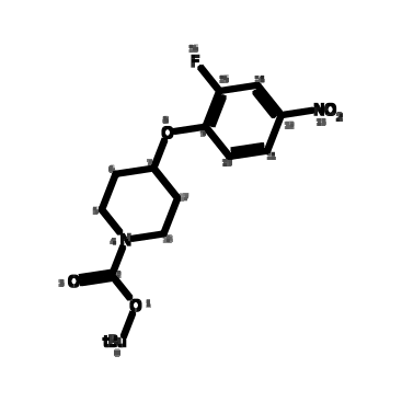 CC(C)(C)OC(=O)N1CCC(Oc2ccc([N+](=O)[O-])cc2F)CC1